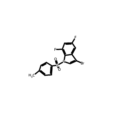 Cc1ccc(S(=O)(=O)n2cc(Br)c3cc(F)cc(F)c32)cc1